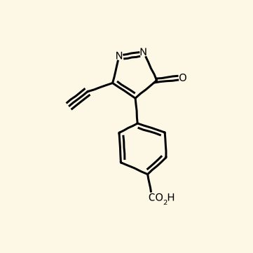 C#CC1=C(c2ccc(C(=O)O)cc2)C(=O)N=N1